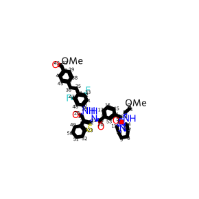 COCCNC(=O)N1C2CCC1CN(Cc1cccc(C(=O)Nc3sc4c(c3C(=O)Nc3cc(F)c(CCc5ccc(C(=O)OC)cc5)c(F)c3)CCCC4)c1)C2